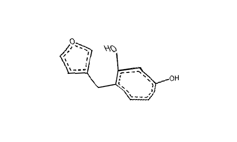 Oc1ccc(Cc2ccoc2)c(O)c1